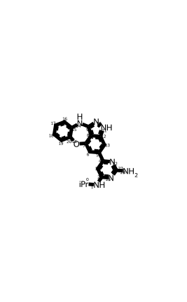 CC(C)Nc1cc(-c2cc3c4c(n[nH]c4c2)Nc2ccccc2O3)nc(N)n1